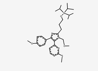 COCn1c(CCCO[Si](C(C)C)(C(C)C)C(C)C)nc(-c2ccc(OC)cc2)c1-c1ccnc(SC)n1